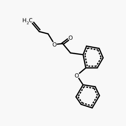 C=CCOC(=O)Cc1ccccc1Oc1ccccc1